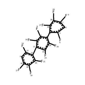 Fc1cc(F)c(-c2c(F)c(F)c(-c3c(F)cc(F)c(F)c3F)c(F)c2F)c(F)c1F